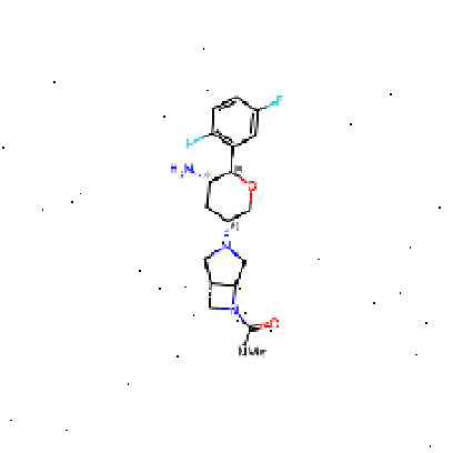 CNC(=O)N1CC2CN([C@H]3CO[C@H](c4cc(F)ccc4F)[C@@H](N)C3)CC21